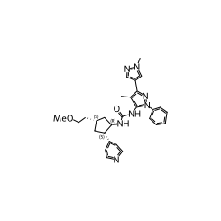 COCC[C@@H]1C[C@@H](NC(=O)Nc2c(C)c(-c3cnn(C)c3)nn2-c2ccccc2)[C@H](c2ccncc2)C1